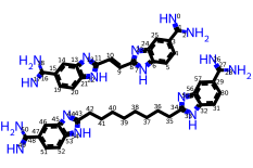 N=C(N)c1ccc2[nH]c(C=Cc3nc4cc(C(=N)N)ccc4[nH]3)nc2c1.N=C(N)c1ccc2[nH]c(CCCCCCCCc3nc4cc(C(=N)N)ccc4[nH]3)nc2c1